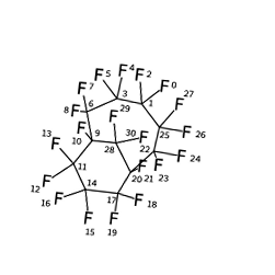 FC1(F)C(F)(F)C(F)(F)C2(F)C(F)(F)C(F)(F)C(F)(F)C(F)(C(F)(F)C1(F)F)C2(F)F